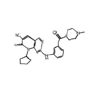 CN1CCN(C(=O)c2cccc(Nc3ncc4cc(C#N)c(=O)n(C5CCCC5)c4n3)c2)CC1